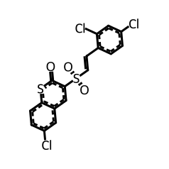 O=c1sc2ccc(Cl)cc2cc1S(=O)(=O)/C=C/c1ccc(Cl)cc1Cl